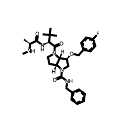 CN[C@@H](C)C(=O)N[C@H](C(=O)N1CC[C@@H]2[C@H]1[C@@H](OCc1ccc(F)cc1)CN2C(=O)NCc1ccccc1)C(C)(C)C